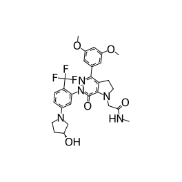 CNC(=O)CN1CCc2c(-c3cc(OC)cc(OC)c3)nn(-c3cc(N4CC[C@H](O)C4)ccc3C(F)(F)F)c(=O)c21